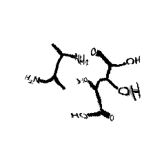 CC(N)C(C)N.O=C(O)C(O)C(O)C(=O)O